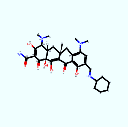 CN(C)c1cc(CNC2CCCCC2)c(O)c2c1C[C@@]1(C)C[C@H]3C(N(C)C)C(O)=C(C(N)=O)C(=O)[C@@]3(O)C(O)=C1C2=O